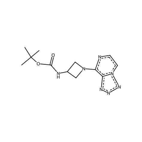 CC(C)(C)OC(=O)NC1CN(c2nccn3nnnc23)C1